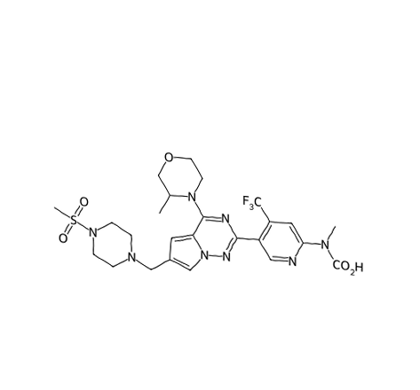 CC1COCCN1c1nc(-c2cnc(N(C)C(=O)O)cc2C(F)(F)F)nn2cc(CN3CCN(S(C)(=O)=O)CC3)cc12